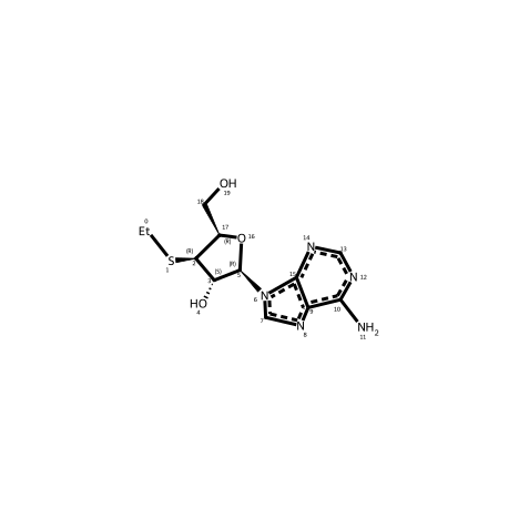 CCS[C@@H]1[C@@H](O)[C@H](n2cnc3c(N)ncnc32)O[C@@H]1CO